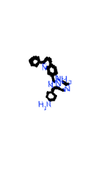 NC1CCC(C2=C3C=NC=C[N+]3(N)C(c3ccc4ccc(-c5ccccc5)nc4c3)=N2)CC1